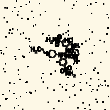 C=CCN1CCC(Nc2ccc(S(N)(=O)=O)cc2[N+](=O)[O-])CC1.Cl.NS(=O)(=O)c1ccc(NC2CCNCC2)c([N+](=O)[O-])c1